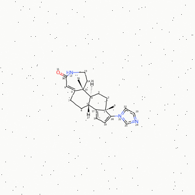 C[C@]12CC[C@H]3[C@@H](CCC4=CC(=O)NCC[C@@]43C)C1=CC=C2n1ccnc1